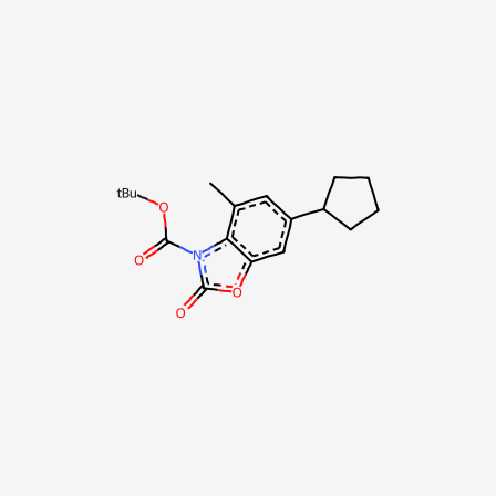 Cc1cc(C2CCCC2)cc2oc(=O)n(C(=O)OC(C)(C)C)c12